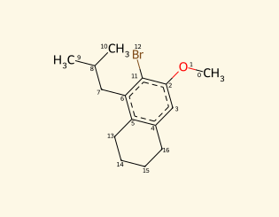 COc1cc2c(c(CC(C)C)c1Br)CCCC2